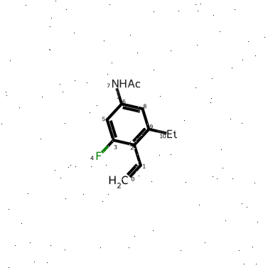 C=Cc1c(F)cc(NC(C)=O)cc1CC